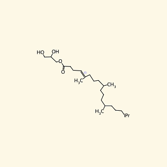 C/C(=C\CCC(=O)OCC(O)CO)CCCC(C)CCCC(C)CCCC(C)C